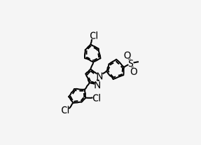 CS(=O)(=O)c1ccc(-n2nc(-c3ccc(Cl)cc3Cl)cc2-c2ccc(Cl)cc2)cc1